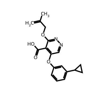 C=C(C)COc1nncc(Oc2cccc(C3CC3)c2)c1C(=O)O